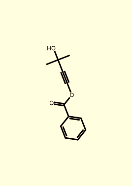 CC(C)(O)C#COC(=O)c1ccccc1